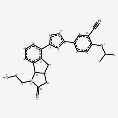 CC(C)Oc1ccc(-c2nc(-c3cccc4c3CC3CC(=O)N(CCO)C43)ns2)cc1C#N